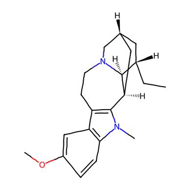 CC[C@H]1C[C@@H]2C[C@H]3c4c(c5cc(OC)ccc5n4C)CCN(C2)[C@@H]13